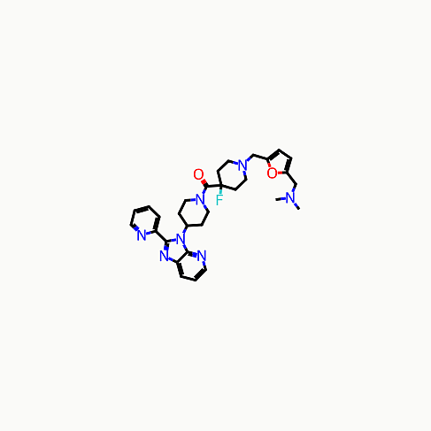 CN(C)Cc1ccc(CN2CCC(F)(C(=O)N3CCC(n4c(-c5ccccn5)nc5cccnc54)CC3)CC2)o1